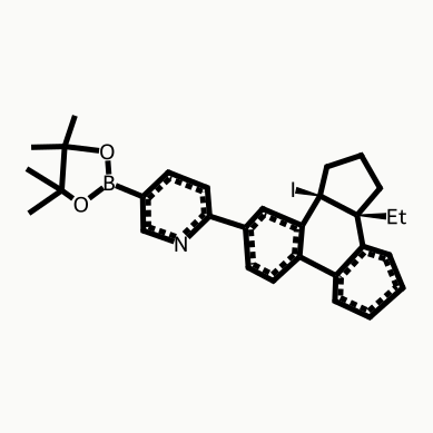 CC[C@]12CCC[C@@]1(I)c1cc(-c3ccc(B4OC(C)(C)C(C)(C)O4)cn3)ccc1-c1ccccc12